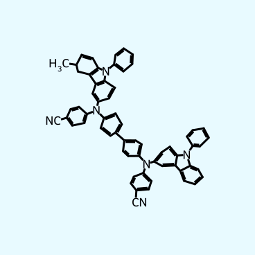 CC1C=Cc2c(c3cc(N(c4ccc(C#N)cc4)c4ccc(-c5ccc(N(c6ccc(C#N)cc6)c6ccc7c(c6)c6ccccc6n7-c6ccccc6)cc5)cc4)ccc3n2-c2ccccc2)C1